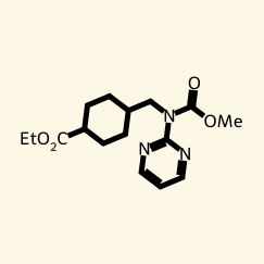 CCOC(=O)C1CCC(CN(C(=O)OC)c2ncccn2)CC1